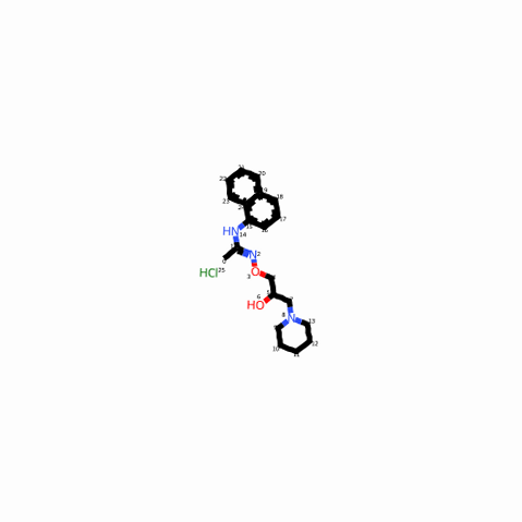 CC(=NOCC(O)CN1CCCCC1)Nc1cccc2ccccc12.Cl